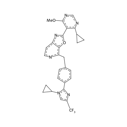 COc1ncnc(C2CC2)c1-c1nc2ccnc(Cc3ccc(-c4nc(C(F)(F)F)cn4C4CC4)cc3)c2o1